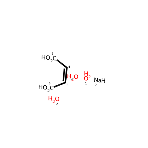 O.O.O.O=C(O)/C=C\C(=O)O.[NaH]